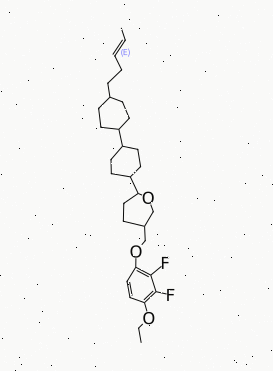 C/C=C/CCC1CCC(C2CCC(C3CCC(COc4ccc(OCC)c(F)c4F)CO3)CC2)CC1